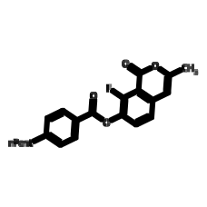 CCCCCc1ccc(C(=O)Oc2ccc3cc(C)oc(=O)c3c2F)cc1